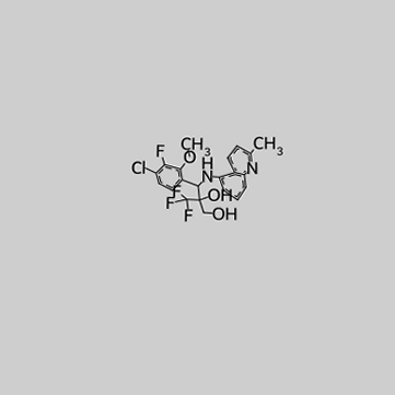 COc1c(C(Nc2cccc3nc(C)ccc23)C(O)(CO)C(F)(F)F)ccc(Cl)c1F